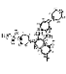 Cc1c(N2CCN(S(C)(=O)=O)CC2)nc2cc(F)cc(F)c2c1Nc1cccc(N2CCOCC2)n1